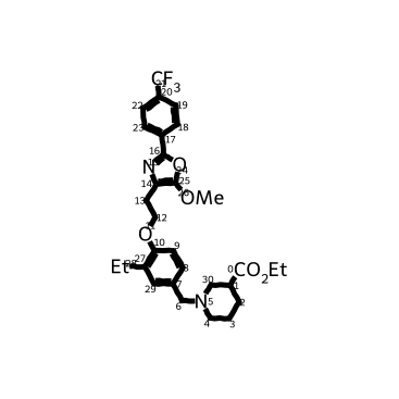 CCOC(=O)C1CCCN(Cc2ccc(OCCc3nc(-c4ccc(C(F)(F)F)cc4)oc3OC)c(CC)c2)C1